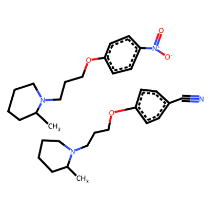 CC1CCCCN1CCCOc1ccc(C#N)cc1.CC1CCCCN1CCCOc1ccc([N+](=O)[O-])cc1